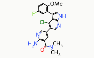 COc1ccc(F)cc1-c1c[nH]c2ncc(-c3cnc(N)c(C(=O)N(C)C)c3)c(Cl)c12